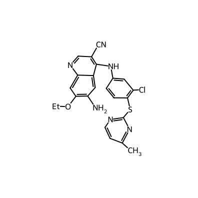 CCOc1cc2ncc(C#N)c(Nc3ccc(Sc4nccc(C)n4)c(Cl)c3)c2cc1N